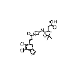 CC(CC(=O)O)C(=NC1CN(C(=O)C=Cc2cc3ccsc3c(Cl)c2Cl)C1)OC(C)(C)C